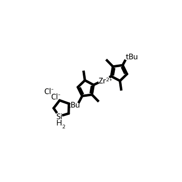 C1CC[SiH2]C1.CC1=[C]([Zr+2][C]2=C(C)C(C(C)(C)C)=CC2C)C(C)C=C1C(C)(C)C.[Cl-].[Cl-]